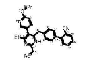 CCC1=C(c2ccc(OC(C)C)nc2)C(Cc2ccc(-c3ccccc3C#N)cc2)NC(CC(C)=O)=N1